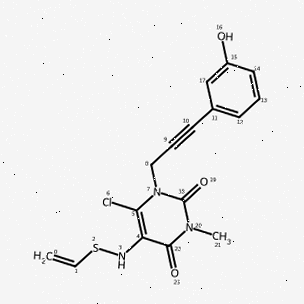 C=CSNc1c(Cl)n(CC#Cc2cccc(O)c2)c(=O)n(C)c1=O